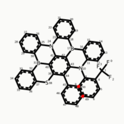 FC(F)(F)c1ccccc1N1c2ccccc2B2c3ccccc3N3c4ccccc4B4c5ccccc5Sc5c4c3c2c1c5-c1ccccc1